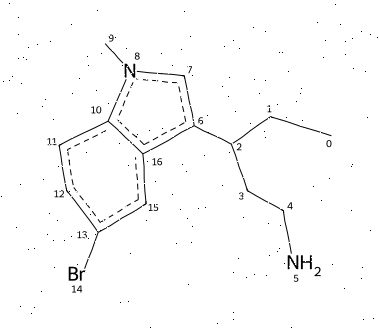 CCC(CCN)c1cn(C)c2ccc(Br)cc12